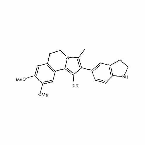 COc1cc2c(cc1OC)-c1c(C#N)c(-c3ccc4c(c3)CCN4)c(C)n1CC2